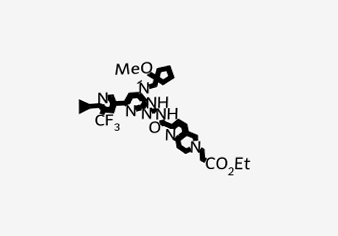 CCOC(=O)CCN1CCc2nc(C(=O)Nc3nc4nc(-c5cnc(C6CC6)c(C(F)(F)F)c5)cc(N(C)CC5(COC)CCCC5)c4[nH]3)ccc2C1